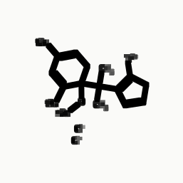 CCCCOC1(C(C)(C)C2=[C]([Ti+2])CC=C2)CC=C(C(C)(C)C)C=C1C(C)(C)C.[Cl-].[Cl-]